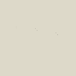 Cn1ccc2c1NC(Cl)C=C2